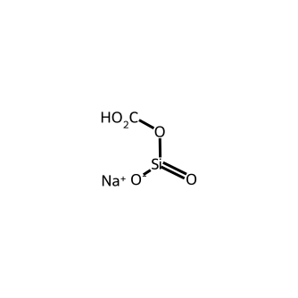 O=C(O)O[Si](=O)[O-].[Na+]